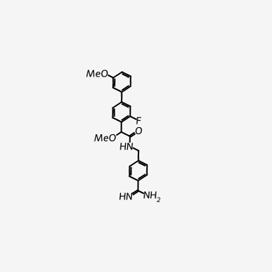 COc1cccc(-c2ccc(C(OC)C(=O)NCc3ccc(C(=N)N)cc3)c(F)c2)c1